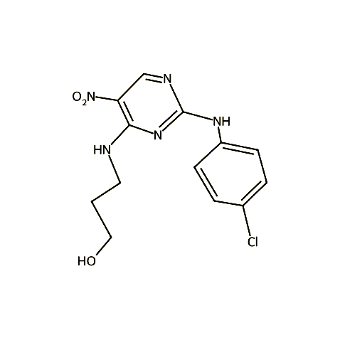 O=[N+]([O-])c1cnc(Nc2ccc(Cl)cc2)nc1NCCCO